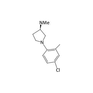 CN[C@@H]1CCN(c2ccc(Cl)cc2C)C1